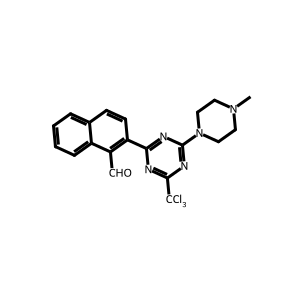 CN1CCN(c2nc(-c3ccc4ccccc4c3C=O)nc(C(Cl)(Cl)Cl)n2)CC1